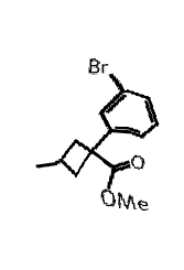 COC(=O)C1(c2cccc(Br)c2)CC(C)C1